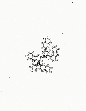 c1ccc2cc(-c3nc(-c4cc(-n5c6ccccc6c6cc7ccccc7cc65)c5oc6ccccc6c5c4)nc(-c4cccc5sc6ccccc6c45)n3)ccc2c1